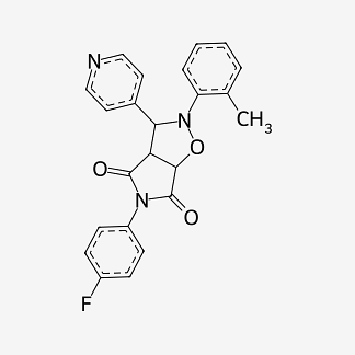 Cc1ccccc1N1OC2C(=O)N(c3ccc(F)cc3)C(=O)C2C1c1ccncc1